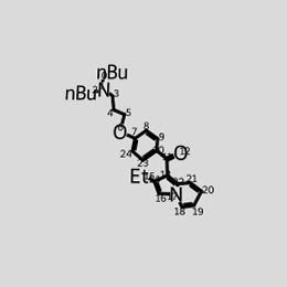 CCCCN(CCCC)CCCOc1ccc(C(=O)c2c(CC)cn3ccccc23)cc1